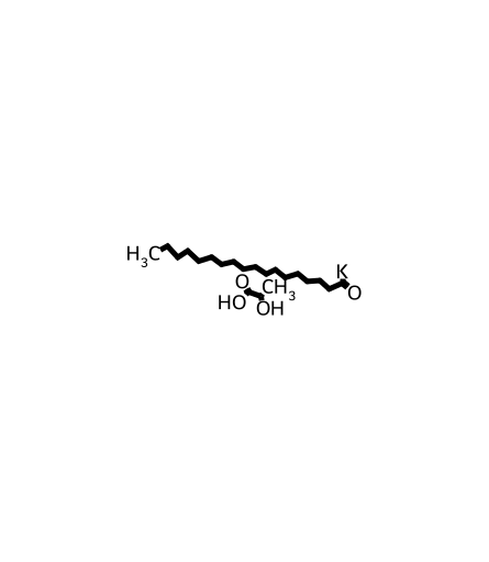 CC(O)C(=O)O.CCCCCCCCCCCCCCCCC[C](=O)[K]